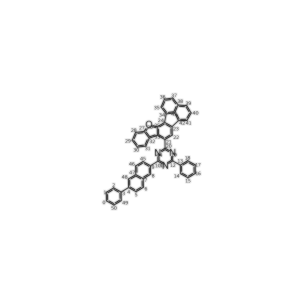 c1ccc(-c2ccc3cc(-c4nc(-c5ccccc5)nc(-c5cc6c(c7oc8ccccc8c57)-c5cccc7cccc-6c57)n4)ccc3c2)cc1